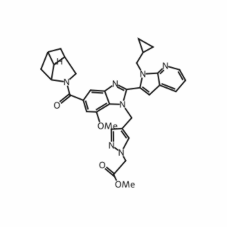 COC(=O)Cn1cc(Cn2c(-c3cc4cccnc4n3CC3CC3)nc3cc(C(=O)N4CC5CC6CC4[C@H]65)cc(OC)c32)cn1